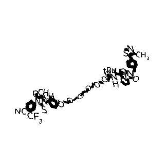 Cc1ncsc1-c1ccc(CNC(=O)[C@@H]2CCCN2C(=O)[C@@H](NC(=O)COCCOCCOCCOCCOCCOc2ccc(N3C(=S)N(c4ccc(C#N)c(C(F)(F)F)c4)C(=O)C3(C)C)cc2)C(C)(C)C)cc1